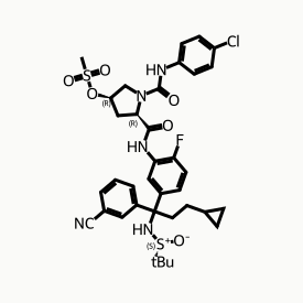 CC(C)(C)[S@@+]([O-])NC(CCC1CC1)(c1cccc(C#N)c1)c1ccc(F)c(NC(=O)[C@H]2C[C@@H](OS(C)(=O)=O)CN2C(=O)Nc2ccc(Cl)cc2)c1